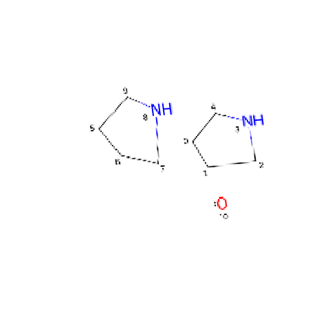 C1CCNC1.C1CCNC1.[O]